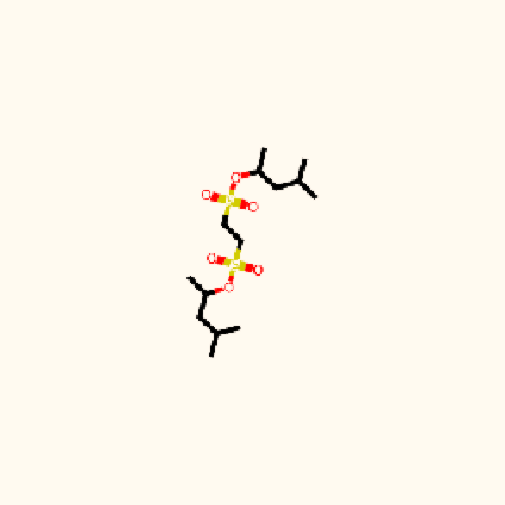 CC(C)CC(C)OS(=O)(=O)CCS(=O)(=O)OC(C)CC(C)C